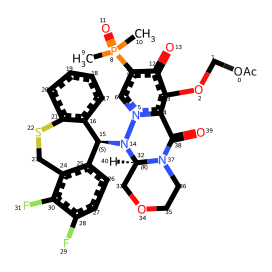 CC(=O)OCOc1c2n(cc(P(C)(C)=O)c1=O)N([C@@H]1c3ccccc3SCc3c1ccc(F)c3F)[C@@H]1COCCN1C2=O